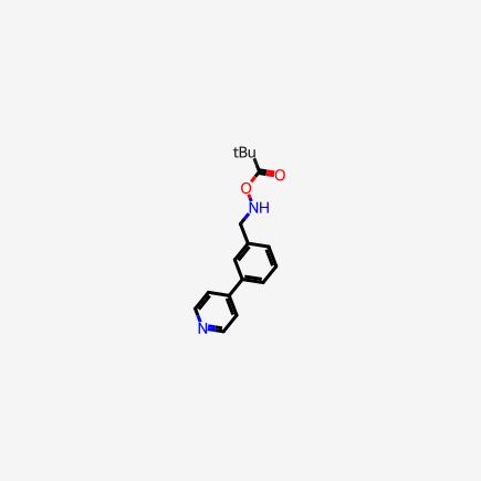 CC(C)(C)C(=O)ONCc1cccc(-c2ccncc2)c1